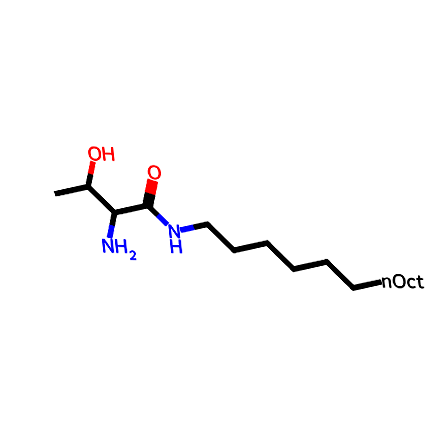 CCCCCCCCCCCCCCNC(=O)C(N)C(C)O